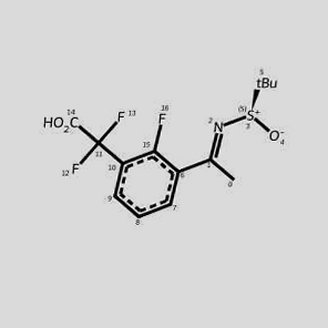 CC(=N[S@+]([O-])C(C)(C)C)c1cccc(C(F)(F)C(=O)O)c1F